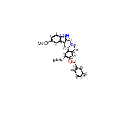 COc1ccc2[nH]c3c(c2c1)CC1c2cc(OC)c(OCc4cccc(F)c4)cc2CCN1C3